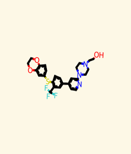 OCCN1CCN(c2cc(-c3ccc(Sc4ccc5c(c4)OCCO5)c(C(F)(F)F)c3)ccn2)CC1